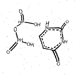 O=[PH](O)O[PH](=O)O.O=c1cc[nH]c(=O)[nH]1